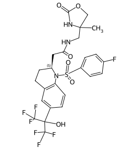 CC1(CNC(=O)C[C@@H]2CCc3cc(C(O)(C(F)(F)F)C(F)(F)F)ccc3N2S(=O)(=O)c2ccc(F)cc2)COC(=O)N1